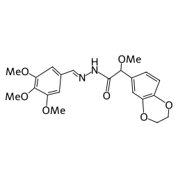 COc1cc(/C=N/NC(=O)C(OC)c2ccc3c(c2)OCCO3)cc(OC)c1OC